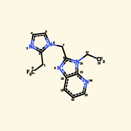 FC(F)(F)Cc1nccn1Cc1nc2cccnc2n1CC(F)(F)F